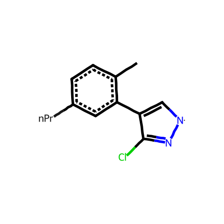 CCCc1ccc(C)c(C2=C[N]N=C2Cl)c1